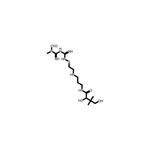 CN(C=O)C(=N)NC(=N)NSCCNCCCNC(=O)C(O)C(C)(C)CO